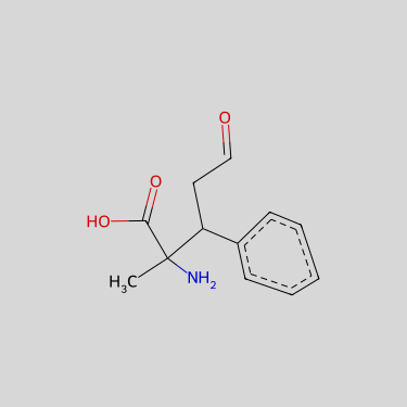 CC(N)(C(=O)O)C(CC=O)c1ccccc1